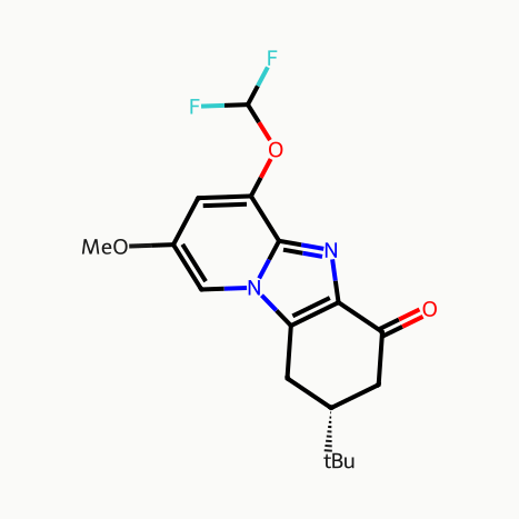 COc1cc(OC(F)F)c2nc3c(n2c1)C[C@@H](C(C)(C)C)CC3=O